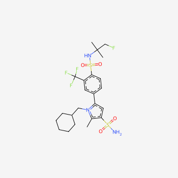 Cc1c(S(N)(=O)=O)cc(-c2ccc(S(=O)(=O)NC(C)(C)CF)c(C(F)(F)F)c2)n1CC1CCCCC1